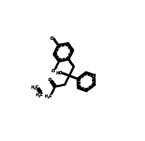 C=C.CC(=O)CC(O)(Cc1ccc(Cl)cc1Cl)c1cccnc1